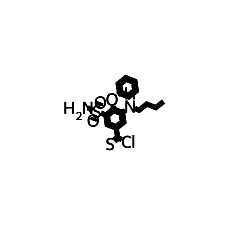 CCCCNc1cc(C(=S)Cl)cc(S(N)(=O)=O)c1Oc1ccccc1